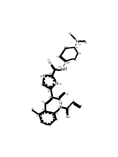 C=CC(=O)Nc1cccc(C)c1/C=C(\C=C)c1csc(C(=O)N[C@H]2CC[C@@H](N(C)C)CC2)n1